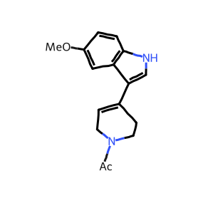 COc1ccc2[nH]cc(C3=CCN(C(C)=O)CC3)c2c1